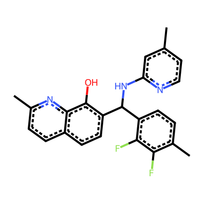 Cc1ccnc(NC(c2ccc(C)c(F)c2F)c2ccc3ccc(C)nc3c2O)c1